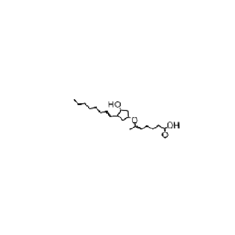 CCCCCC/C=C/C1C[C@@H](O/C(C)=C\CCCC(=O)O)C[C@H]1O